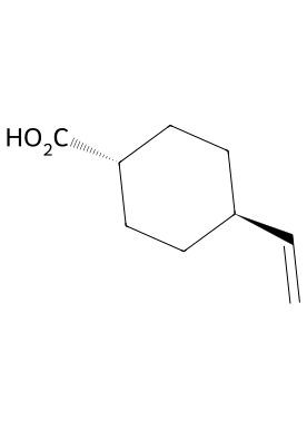 C=C[C@H]1CC[C@H](C(=O)O)CC1